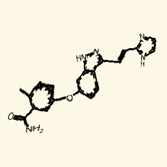 Cc1ccc(Oc2ccc3c(C=Cc4ncc[nH]4)n[nH]c3c2)cc1C(N)=O